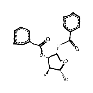 O=C(O[C@@H]1O[C@H](Br)[C@@H](F)[C@@H]1OC(=O)c1ccccc1)c1ccccc1